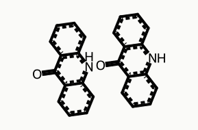 O=c1c2ccccc2[nH]c2ccccc12.O=c1c2ccccc2[nH]c2ccccc12